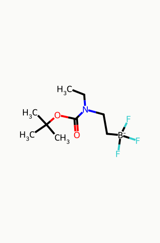 CCN(CC[B-](F)(F)F)C(=O)OC(C)(C)C